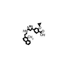 Cc1c(CCNc2cc(-c3ccc(C(=O)O)c(OC4CC4)c3)ncn2)ccc2ccccc12